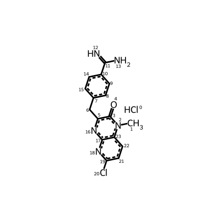 Cl.Cn1c(=O)c(Cc2ccc(C(=N)N)cc2)nc2nc(Cl)ccc21